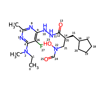 CCN(C)c1nc(C)nc(NNC(=O)[C@@H](CC2CCCC2)CN(O)C=O)c1F